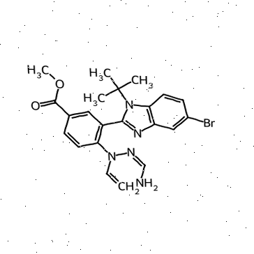 C=CN(/N=C\N)c1ccc(C(=O)OC)cc1-c1nc2cc(Br)ccc2n1C(C)(C)C